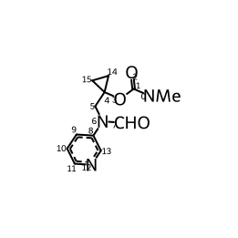 CNC(=O)OC1(CN(C=O)c2cccnc2)CC1